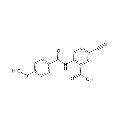 COc1ccc(C(=O)Nc2ccc(C#N)cc2C(=O)O)cc1